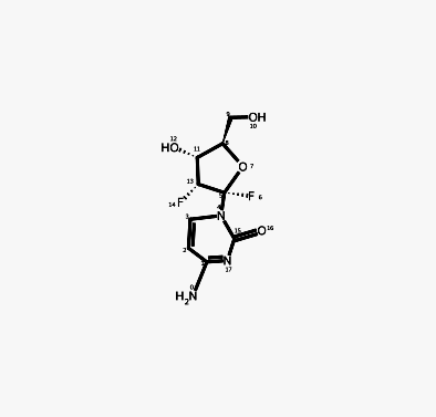 Nc1ccn([C@]2(F)O[C@H](CO)[C@@H](O)[C@H]2F)c(=O)n1